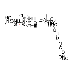 C=C(C)[C@H](NC(=O)CCOCCOCCOCCOCCOCCOCCN1C(=O)C=CC1=O)C(=O)NCC(=O)Nc1ccc(COC(=O)N(C)CCN(C)C(=O)Oc2cc3c(c4c(C)c[nH]c24)[C@H](CCl)CN3C(=O)C23CC(C(=O)NC4=CC(O)=C(N)CC4)(C2)C3)cc1